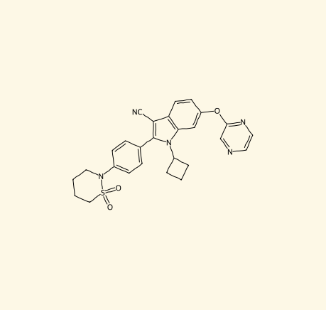 N#Cc1c(-c2ccc(N3CCCCS3(=O)=O)cc2)n(C2CCC2)c2cc(Oc3cnccn3)ccc12